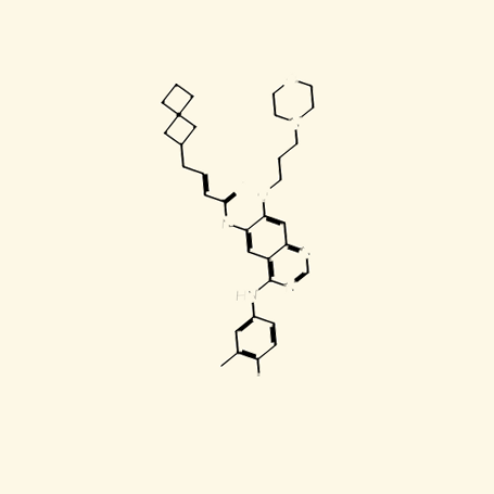 Cc1cc(Nc2ncnc3cc(OCCCN4CCOCC4)c(NC(=O)/C=C/CC4CC5(CCC5)C4)cc23)ccc1F